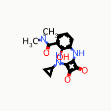 CN(C)C(=O)c1cccc(Nc2c(NC3CC3)c(=O)c2=O)c1O